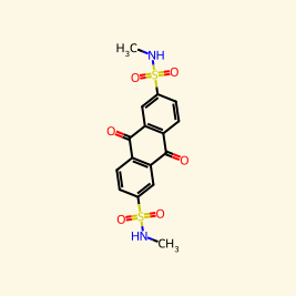 CNS(=O)(=O)c1ccc2c(c1)C(=O)c1ccc(S(=O)(=O)NC)cc1C2=O